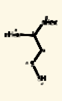 CCCCCCC(CCCCCC)CSS